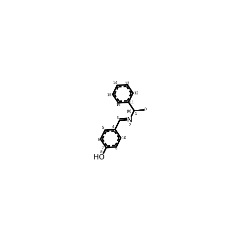 C[C@@H](N=Cc1ccc(O)cc1)c1ccccc1